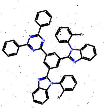 CC(C)c1ccccc1-n1c(-c2cc(-c3nc(-c4ccccc4)nc(-c4ccccc4)n3)cc(-c3nc4ccccc4n3-c3ccccc3C(C)C)c2)nc2ccccc21